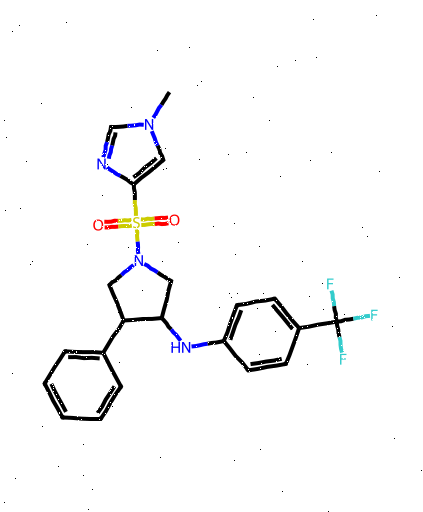 Cn1cnc(S(=O)(=O)N2CC(Nc3ccc(C(F)(F)F)cc3)C(c3ccccc3)C2)c1